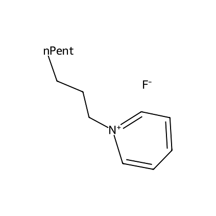 CCCCCCCC[n+]1ccccc1.[F-]